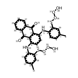 Cc1ccc(Nc2ccc(Nc3ccc(C)cc3SOOO)c3c2C(=O)c2ccccc2C3=O)c(SOOO)c1